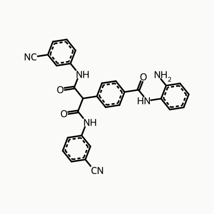 N#Cc1cccc(NC(=O)C(C(=O)Nc2cccc(C#N)c2)c2ccc(C(=O)Nc3ccccc3N)cc2)c1